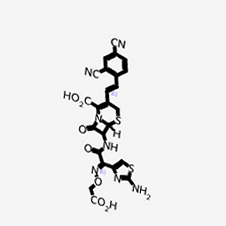 N#Cc1ccc(/C=C/C2=C(C(=O)O)N3C(=O)C(NC(=O)/C(=N/OCC(=O)O)c4csc(N)n4)[C@H]3SC2)c(C#N)c1